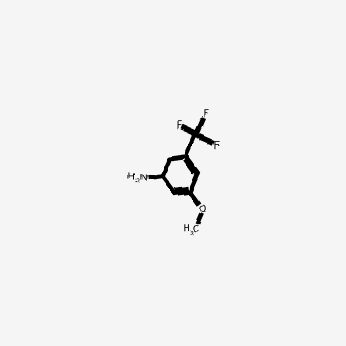 COC1=CC(N)CC(C(F)(F)F)=C1